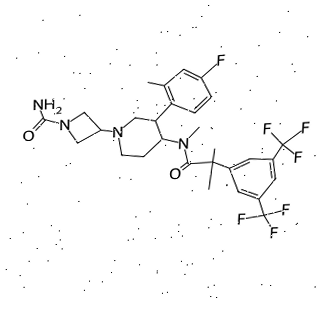 Cc1cc(F)ccc1C1CN(C2CN(C(N)=O)C2)CCC1N(C)C(=O)C(C)(C)c1cc(C(F)(F)F)cc(C(F)(F)F)c1